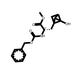 COC(=O)[C@H](CC12CC(C1)C2O)NC(=O)OCc1ccccc1